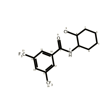 O=C(NC1CCCCC1Cl)c1cc(C(F)(F)F)cc(C(F)(F)F)c1